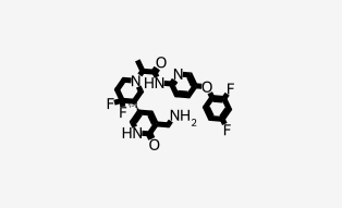 CC(C(=O)Nc1ccc(Oc2ccc(F)cc2F)cn1)N1CCC(F)(F)[C@@H](c2c[nH]c(=O)c(CN)c2)C1